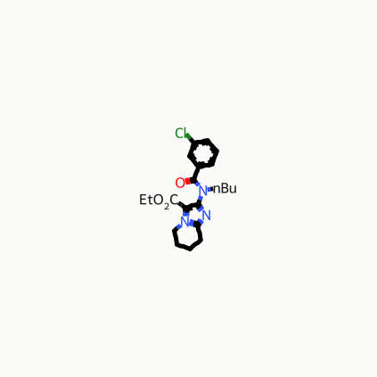 CCCCN(C(=O)c1cccc(Cl)c1)c1nc2n(c1C(=O)OCC)CCCC2